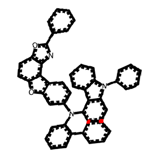 c1ccc(-c2nc3c(ccc4oc5cc(N(c6ccccc6-c6ccccc6)c6cccc7c6c6ccccc6n7-c6ccccc6)ccc5c43)o2)cc1